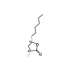 CCCCCC[C@H]1C[C@@H](C)C(=O)O1